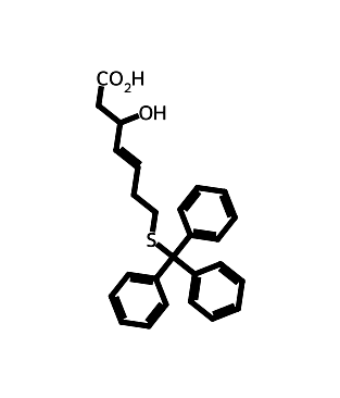 O=C(O)CC(O)C=CCCSC(c1ccccc1)(c1ccccc1)c1ccccc1